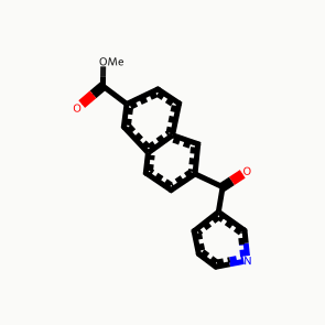 COC(=O)c1ccc2cc(C(=O)c3cccnc3)ccc2c1